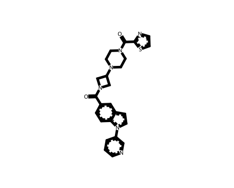 O=C(c1ccc2c(ccn2-c2cccnc2)c1)N1CC(N2CCN(C(=O)c3nccs3)CC2)C1